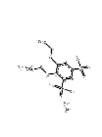 O=C([O-])COc1cc(S(=O)(=O)[O-])cc(S(=O)(=O)[O-])c1OCC(=O)[O-].[Na+].[Na+].[Na+].[Na+]